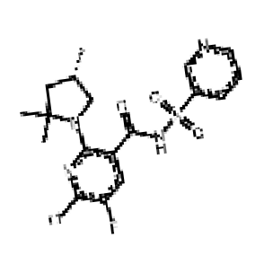 C[C@@H]1CN(c2nc(Cl)c(F)cc2C(=O)NS(=O)(=O)c2cccnc2)C(C)(C)C1